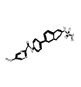 CCNS(=O)(=O)Nc1ccc2cc(-c3ccc(OC(=O)c4ncc(OC)cn4)cc3)ccc2c1